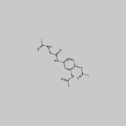 CC(=O)NCC(=O)Nc1ccc(OC(C)=O)c(OC(C)=O)c1